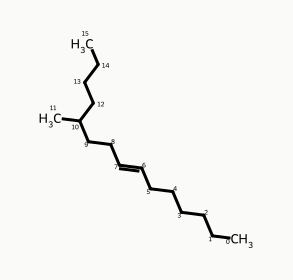 CCCCCCC=CCCC(C)CCCC